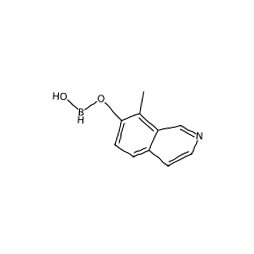 Cc1c(OBO)ccc2ccncc12